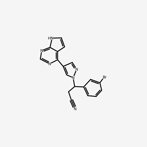 N#CCC(c1cccc(Br)c1)n1cc(-c2ncnc3[nH]ccc23)cn1